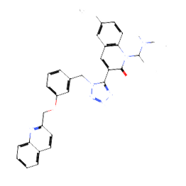 COc1ccc2c(c1)cc(-c1nnnn1Cc1cccc(OCc3ccc4ccccc4n3)c1)c(=O)n2C(C)N(C)C